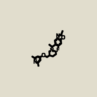 Cc1cc(OCC2CCCN(C(C)c3cc4nc(C)oc4cc3F)C2)cc(C)n1